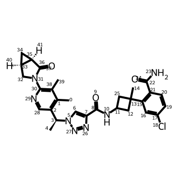 Cc1c([C@H](C)n2cc(C(=O)NC3CC(C)(c4cc(Cl)ccc4C(N)=O)C3)nn2)cnc(N2C[C@H]3C[C@H]3C2=O)c1C